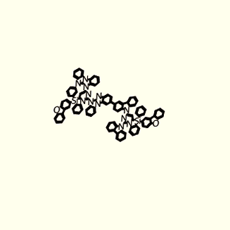 c1ccc([Si](c2ccccc2)(c2ccc3oc4ccccc4c3c2)c2cc(-n3c4ccccc4c4cc(-c5ccc6nc7n(-c8nc(-n9c%10ccccc%10n%10c%11ccccc%11nc9%10)cc([Si](c9ccccc9)(c9ccccc9)c9ccc%10oc%11ccccc%11c%10c9)n8)c8ccccc8n7c6c5)ccc43)nc(-n3c4ccccc4c4ccccc43)n2)cc1